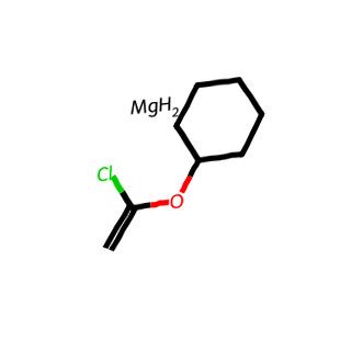 C=C(Cl)OC1CCCCC1.[MgH2]